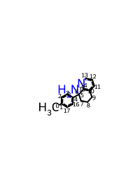 Cc1ccc(C2(N)CCCc3cccnc32)cc1